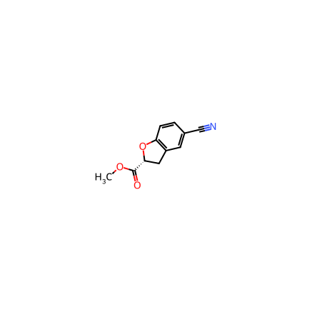 COC(=O)[C@H]1Cc2cc(C#N)ccc2O1